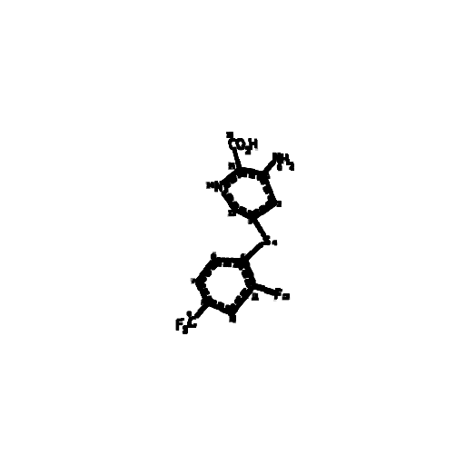 Nc1cc(Sc2ccc(C(F)(F)F)cc2F)cnc1C(=O)O